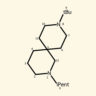 CCCC(C)N1CCCC2(CCN(C(C)(C)C)CC2)C1